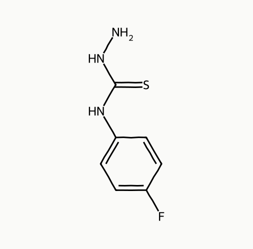 NNC(=S)Nc1ccc(F)cc1